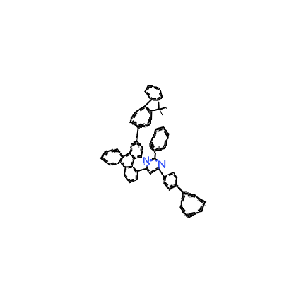 CC1(C)c2ccccc2-c2ccc(-c3ccc4c(c3)c3ccccc3c3cccc(-c5cc(-c6ccc(-c7ccccc7)cc6)nc(-c6ccccc6)n5)c34)cc21